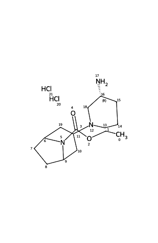 CCOC(=O)N1C2CCC1CC(N1CCC[C@@H](N)C1)C2.Cl.Cl